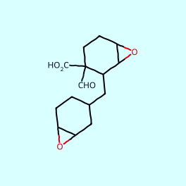 O=CC1(C(=O)O)CCC2OC2C1CC1CCC2OC2C1